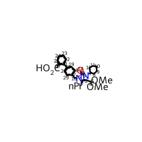 CCCc1c(C(OC)OC)n(C2CCCCC2)c(=O)n1Cc1ccc(-c2ccccc2C(=O)O)cc1